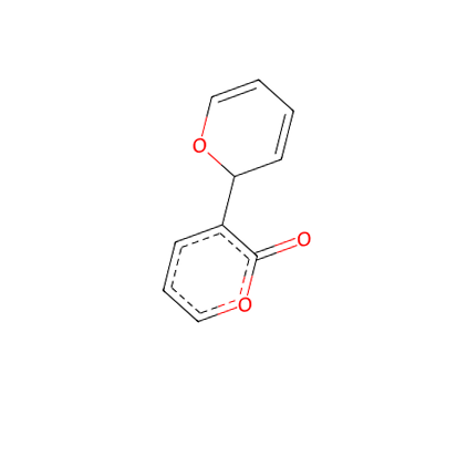 O=c1occcc1C1C=CC=CO1